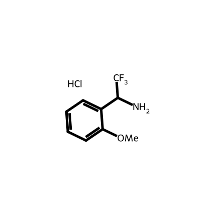 COc1ccccc1C(N)C(F)(F)F.Cl